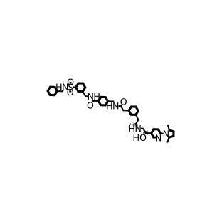 Cc1ccc(C)n1-c1ccc([C@H](O)CN[C@H](C)Cc2cccc(CC(=O)NCc3ccc(C(=O)NCc4cccc(S(=O)(=O)NCc5ccccc5)c4)cc3)c2)cn1